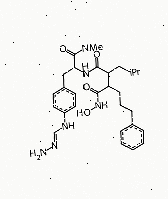 CNC(=O)C(Cc1ccc(NC=NN)cc1)NC(=O)C(CC(C)C)C(CCCc1ccccc1)C(=O)NO